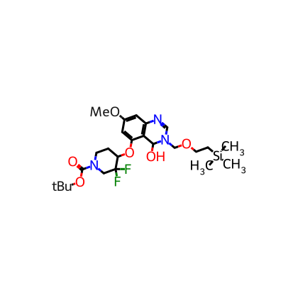 COc1cc2c(c(OC3CCN(C(=O)OC(C)(C)C)CC3(F)F)c1)C(O)N(COCC[Si](C)(C)C)C=N2